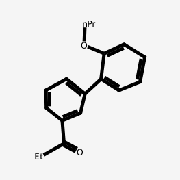 CCCOc1ccccc1-c1cccc(C(=O)CC)c1